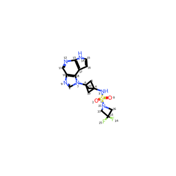 O=S(=O)(NC12CC(n3cnc4cnc5[nH]ccc5c43)(C1)C2)N1CC(F)(F)C1